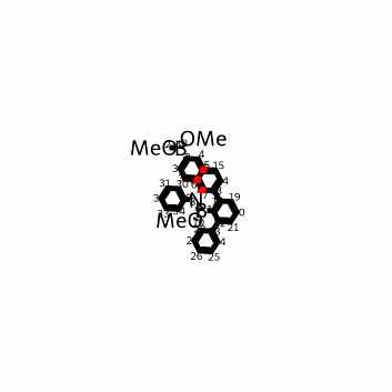 COB(OC)c1ccc(CN(B(OC)c2c(-c3ccccc3)cccc2-c2ccccc2)c2ccccc2)cc1